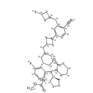 COC(=O)N[C@H]1CCC[C@@H]1[C@](c1cccc(F)c1)(C1CCN(CC2CN(c3ccc(C#N)c(CN4CC(F)C4)c3)C2)CC1)N1CCCCC1=O